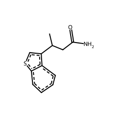 CC(CC(N)=O)c1csc2ccccc12